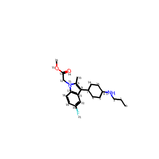 CCCNC1CCC(c2c(C)n(CC(=O)OC)c3ccc(F)cc23)CC1